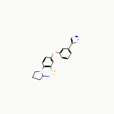 O=S1(=O)NC2CCCN2c2ccc(Oc3cccc(-c4cnn[nH]4)c3)cc21